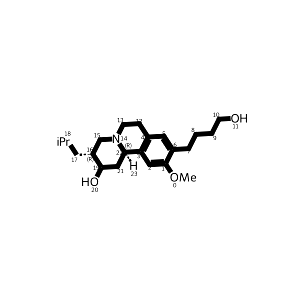 COc1cc2c(cc1CCCCO)CCN1C[C@@H](CC(C)C)C(O)C[C@H]21